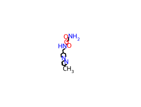 Cc1ccc(N2CCC(CCNC(=O)OCC(N)=O)CC2)nc1